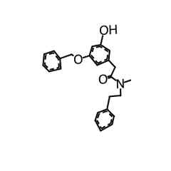 CN(CCc1ccccc1)C(=O)Cc1cc(O)cc(OCc2ccccc2)c1